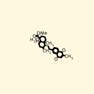 C=C1CC[C@@H]2[C@](C)(CCC[C@]2(C)C(=O)OC)[C@H]1CCc1ccc2c(c1)C(=O)C=C(C)C2=O